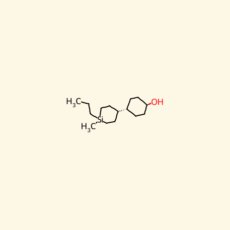 CCC[Si]1(C)CCC([C@H]2CC[C@H](O)CC2)CC1